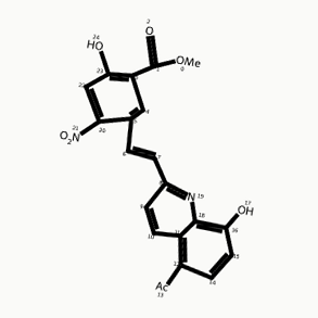 COC(=O)c1cc(/C=C/c2ccc3c(C(C)=O)ccc(O)c3n2)c([N+](=O)[O-])cc1O